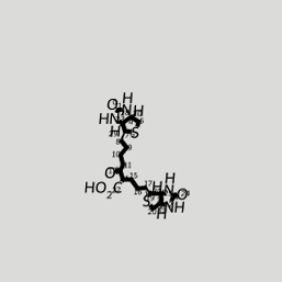 O=C1N[C@H]2[C@H](CS[C@H]2CCCCC(=O)C(CCC[C@@H]2SC[C@@H]3NC(=O)N[C@@H]32)C(=O)O)N1